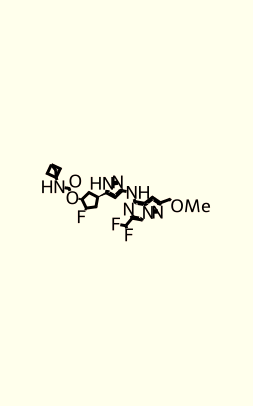 COCc1cc2c(Nc3cc([C@H]4C[C@@H](F)[C@@H](OC(=O)NC56CC(C5)C6)C4)[nH]n3)nc(C(F)F)cn2n1